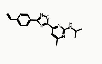 C=Cc1ccc(-c2noc(-c3cc(C)nc(NC(C)C)n3)n2)cc1